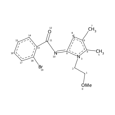 COCCn1c(C)c(C)sc1=NC(=O)c1ccccc1Br